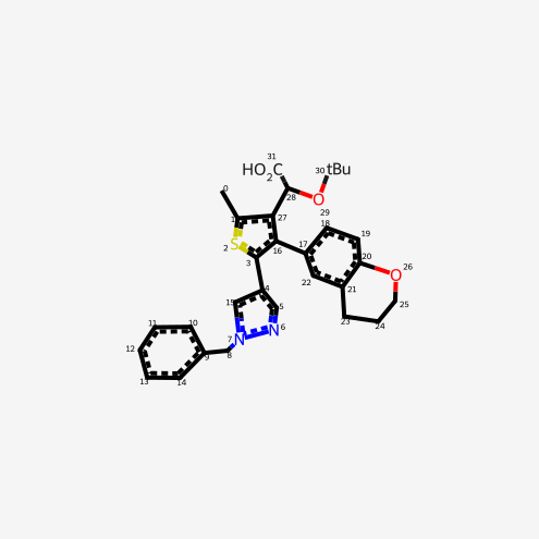 Cc1sc(-c2cnn(Cc3ccccc3)c2)c(-c2ccc3c(c2)CCCO3)c1C(OC(C)(C)C)C(=O)O